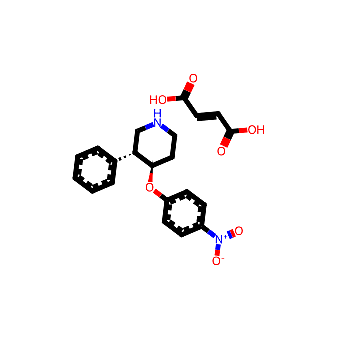 O=C(O)C=CC(=O)O.O=[N+]([O-])c1ccc(O[C@@H]2CCNC[C@H]2c2ccccc2)cc1